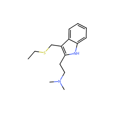 CCSCc1c(CCN(C)C)[nH]c2ccccc12